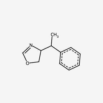 CC(c1ccccc1)C1COC=N1